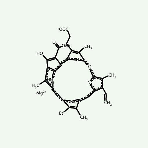 C=Cc1c(C)c2cc3nc(c4c5[nH]c(cc6nc(cc1[n-]2)C(C)=C6CC)c(C)c5C(O)=C4C(=O)OC)C(CCC(=O)[O-])=C3C.[Mg+2]